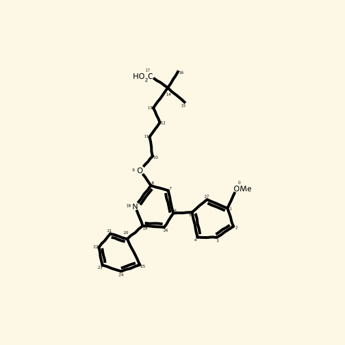 COc1cccc(-c2cc(OCCCCC(C)(C)C(=O)O)nc(-c3ccccc3)c2)c1